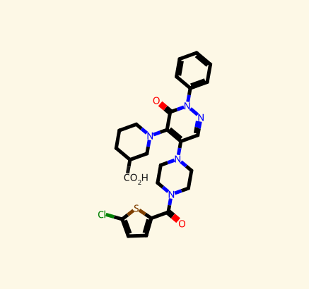 O=C(O)C1CCCN(c2c(N3CCN(C(=O)c4ccc(Cl)s4)CC3)cnn(-c3ccccc3)c2=O)C1